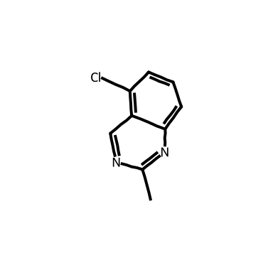 Cc1ncc2c(Cl)cccc2n1